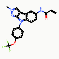 C=CC(=O)Nc1ccc2c(c1)c1cn(C)nc1n2-c1ccc(OC(F)(F)F)cc1